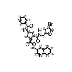 O=C(N[C@@H]1C[C@@H](C(=O)NCC2CC(Br)=NO2)N(C(=O)OCc2cnc3ccccc3c2)C1)c1cccnc1